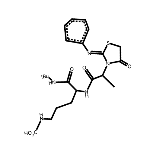 CC(C(=O)NC(CCCNC(=O)O)C(=O)NC(C)(C)C)N1C(=O)CSC1=Nc1ccccc1